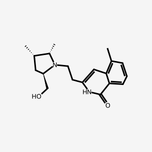 Cc1cccc2c(=O)[nH]c(CCN3[C@@H](CO)C[C@H](C)[C@@H]3C)cc12